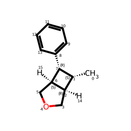 C[C@@H]1[C@H]2COC[C@H]2[C@@H]1c1ccccc1